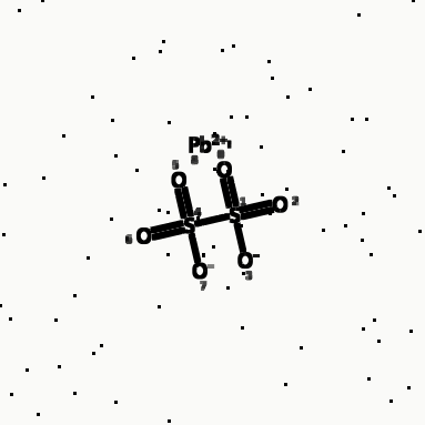 O=S(=O)([O-])S(=O)(=O)[O-].[Pb+2]